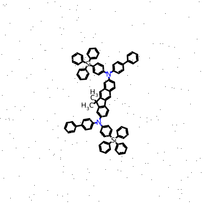 CC1(C)c2cc(N(c3ccc(-c4ccccc4)cc3)c3ccc([Si](c4ccccc4)(c4ccccc4)c4ccccc4)cc3)ccc2-c2cc3ccc(N(c4ccc(-c5ccccc5)cc4)c4ccc([Si](c5ccccc5)(c5ccccc5)c5ccccc5)cc4)cc3cc21